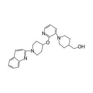 OCC1CCN(c2cccnc2OC2CCN(c3ccc4ccccc4n3)CC2)CC1